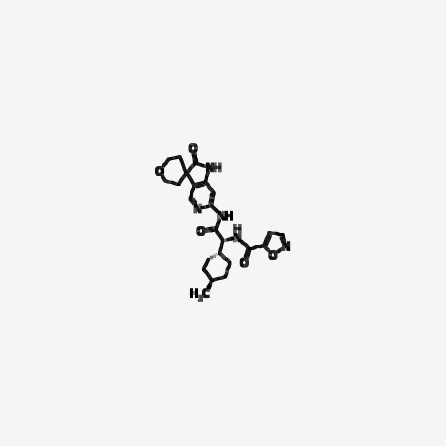 C[C@H]1CC[C@H]([C@H](NC(=O)c2ccno2)C(=O)Nc2cc3c(cn2)C2(CCOCC2)C(=O)N3)CC1